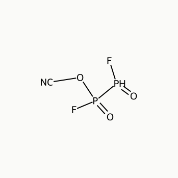 N#COP(=O)(F)[PH](=O)F